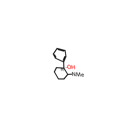 CNC1CCCC[C@@]1(O)c1ccccc1